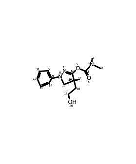 CN(C)C(=O)OC1=NN(c2ccccc2)CC1(C)CCO